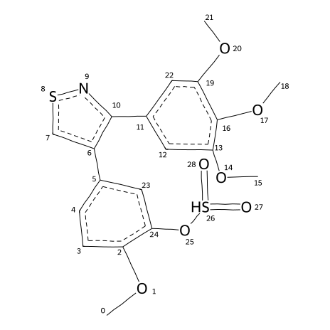 COc1ccc(-c2csnc2-c2cc(OC)c(OC)c(OC)c2)cc1O[SH](=O)=O